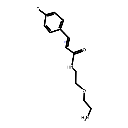 NCCOCCNC(=O)/C=C/c1ccc(F)cc1